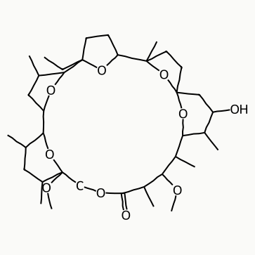 CCC12CCC(O1)C1(C)CCC3(CC(O)C(C)C(O3)C(C)C(OC)C(C)C(=O)OCC3(OC)OC(C(C)CC3C)C3CC(C)C2O3)O1